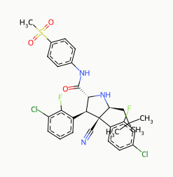 CC(C)(C)C[C@@H]1N[C@@H](C(=O)Nc2ccc(S(C)(=O)=O)cc2)[C@H](c2cccc(Cl)c2F)[C@@]1(C#N)c1ccc(Cl)cc1F